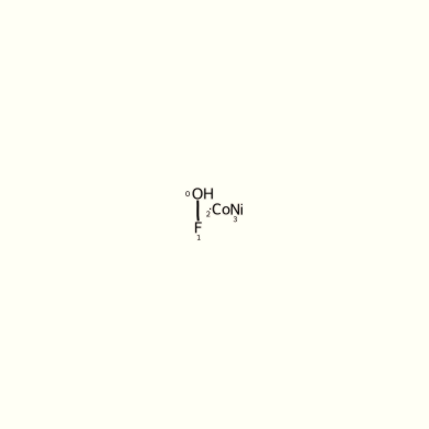 OF.[Co].[Ni]